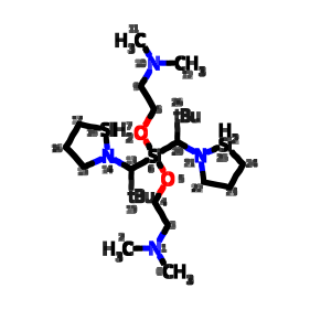 CN(C)CCO[Si](OCCN(C)C)(C(N1CCC[SiH2]1)C(C)(C)C)C(N1CCC[SiH2]1)C(C)(C)C